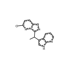 CC(c1c[nH]c2ncccc12)c1nnc2ccc(Cl)nn12